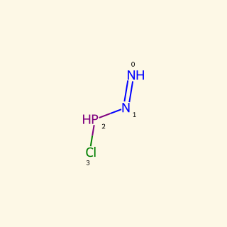 N=NPCl